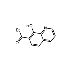 CCC(=O)c1ccc2cccnc2c1O